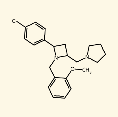 COc1ccccc1CN1C(CN2CCCC2)CC1c1ccc(Cl)cc1